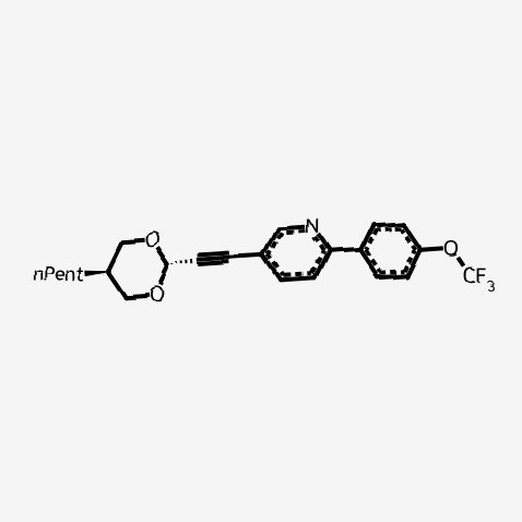 CCCCC[C@H]1CO[C@H](C#Cc2ccc(-c3ccc(OC(F)(F)F)cc3)nc2)OC1